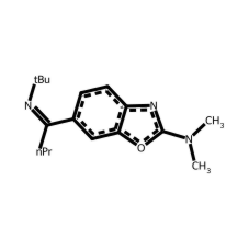 CCC/C(=N/C(C)(C)C)c1ccc2nc(N(C)C)oc2c1